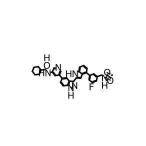 CS(=O)(=O)NCc1cc(F)cc(-c2cccc3[nH]c(-c4n[nH]c5ccc(-c6cncc(NC(O)C7CCCCC7)c6)cc45)cc23)c1